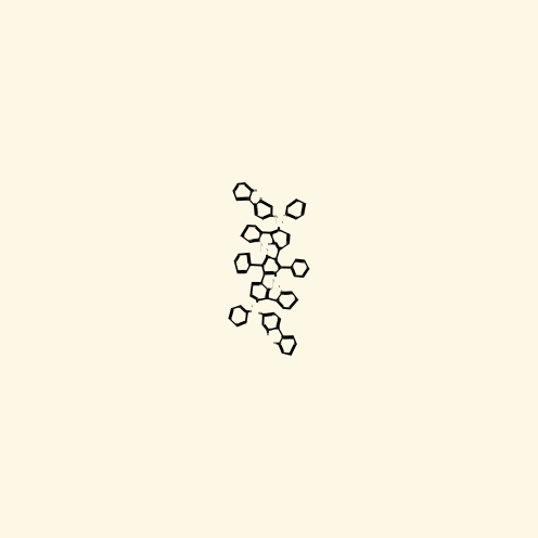 c1ccc(-c2c3c4ccc(N(c5ccccc5)c5ccc6c(c5)oc5ccccc56)c5c6ccccc6n(c3c(-c3ccccc3)c3c6ccc(N(c7ccccc7)c7ccc8c(c7)oc7ccccc78)c7c8ccccc8n(c23)c67)c45)cc1